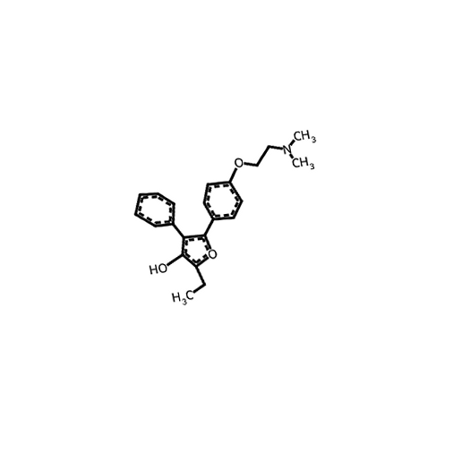 CCc1oc(-c2ccc(OCCN(C)C)cc2)c(-c2ccccc2)c1O